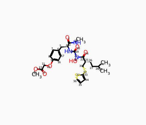 CNC(=O)[C@H](Cc1ccc(OCC(=O)OC)cc1)NC(=O)N(O)C(=O)[C@H](CCC(C)C)CSc1cccs1